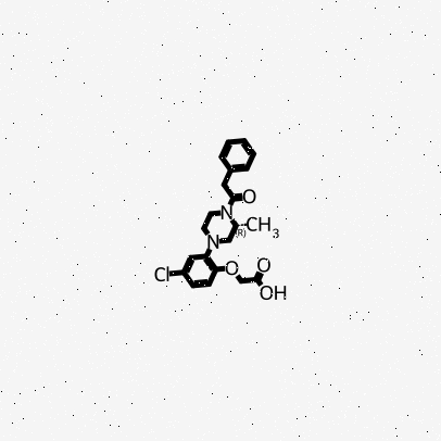 C[C@@H]1CN(c2cc(Cl)ccc2OCC(=O)O)CCN1C(=O)Cc1ccccc1